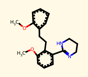 COc1ccccc1CCc1c(OC)cccc1C1=NCCCN1